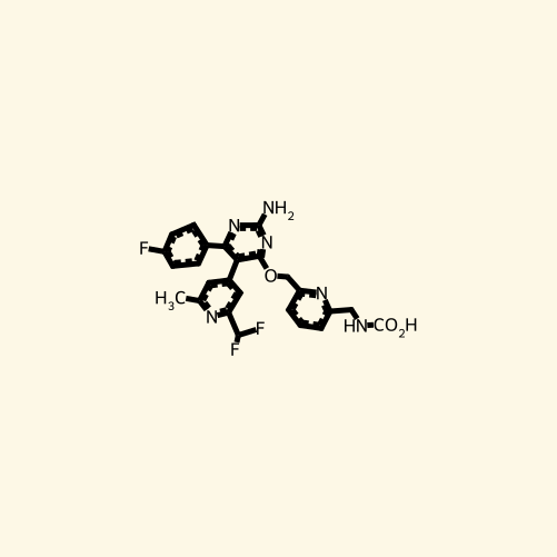 Cc1cc(-c2c(OCc3cccc(CNC(=O)O)n3)nc(N)nc2-c2ccc(F)cc2)cc(C(F)F)n1